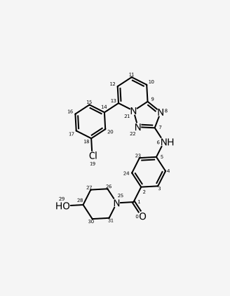 O=C(c1ccc(Nc2nc3cccc(-c4cccc(Cl)c4)n3n2)cc1)N1CCC(O)CC1